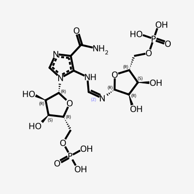 NC(=O)c1ncn([C@@H]2O[C@H](COP(=O)(O)O)[C@@H](O)[C@H]2O)c1N/C=N\[C@@H]1O[C@H](COP(=O)(O)O)[C@@H](O)[C@H]1O